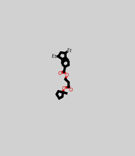 CCC1CC(CC)C2C3CC(CC3C(=O)OCCC(=O)OC3(C)CCCC3)C12